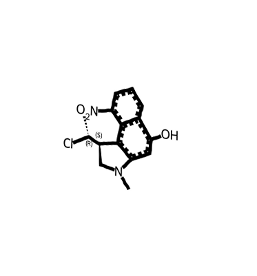 C[C@@H](Cl)[C@@H]1CN(C)c2cc(O)c3cccc([N+](=O)[O-])c3c21